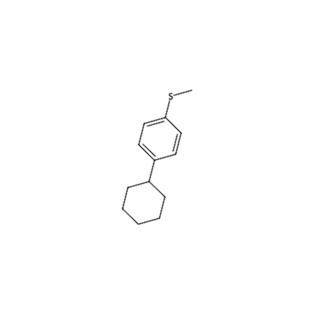 CSc1ccc(C2CCCCC2)cc1